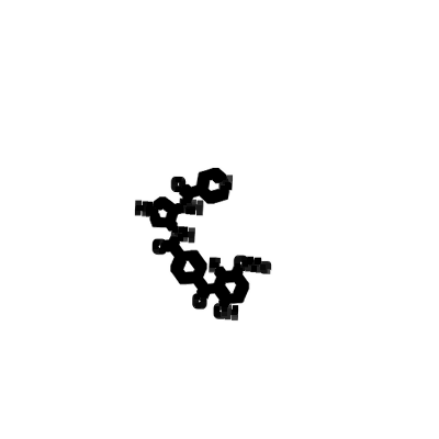 COc1ccc(O)c(C(=O)c2ccc(C(=O)NC3CNCC3NC(=O)c3ccncc3)cc2)c1F